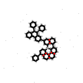 c1ccc(-c2ccc(N(c3cccc(-c4ccc5c(c4)c(-c4ccccc4)c(-c4ccccc4)c4ccccc45)c3)c3c(-c4ccccc4)cccc3-c3ccccc3)c(-c3ccccc3)c2)cc1